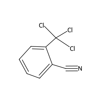 N#Cc1ccccc1C(Cl)(Cl)Cl